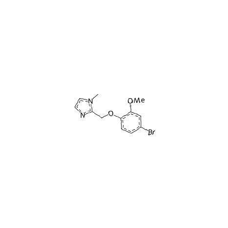 COc1cc(Br)ccc1OCc1nccn1C